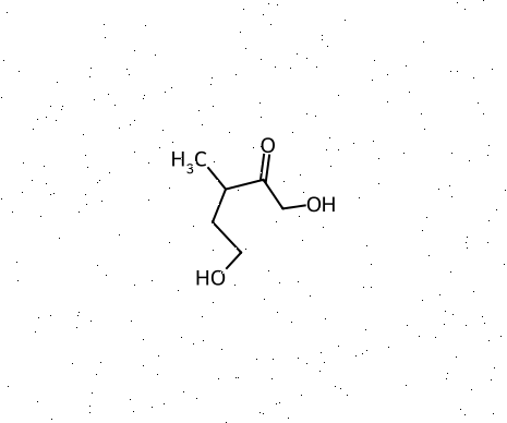 CC(CCO)C(=O)CO